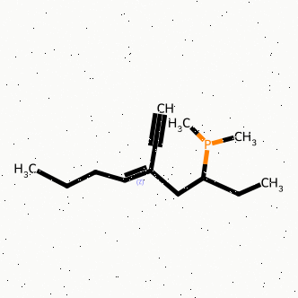 C#C/C(=C\CCC)CC(CC)P(C)C